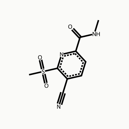 CNC(=O)c1ccc(C#N)c(S(C)(=O)=O)n1